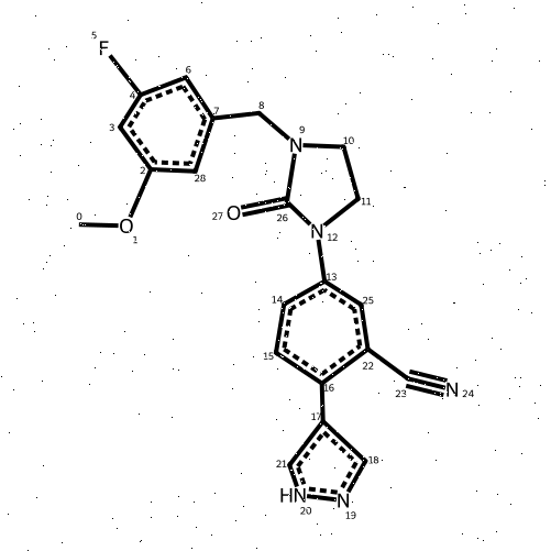 COc1cc(F)cc(CN2CCN(c3ccc(-c4cn[nH]c4)c(C#N)c3)C2=O)c1